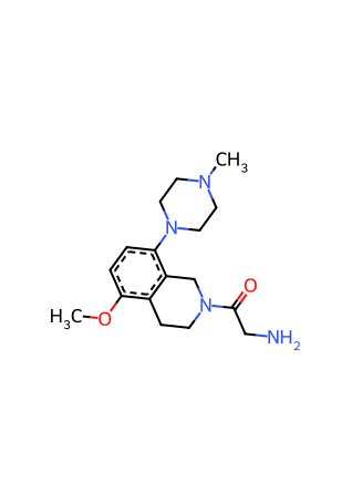 COc1ccc(N2CCN(C)CC2)c2c1CCN(C(=O)CN)C2